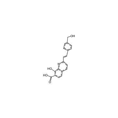 O=C(O)c1ccc2ccc(C=Cc3ccc(CO)cc3)nc2c1O